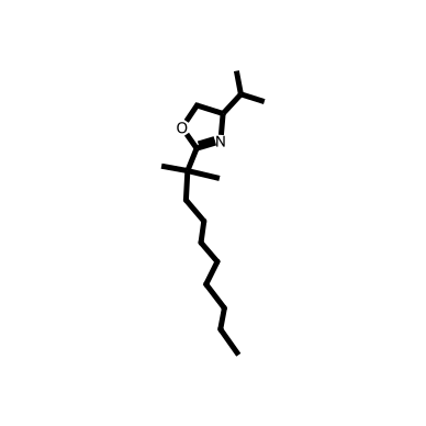 CCCCCCCCC(C)(C)C1=NC(C(C)C)CO1